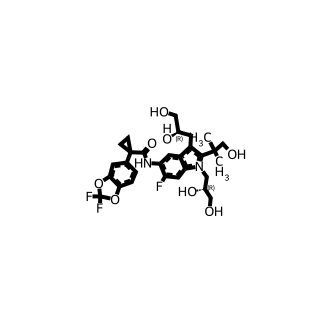 CC(C)(CO)c1c(C[C@@H](O)CO)c2cc(NC(=O)C3(c4ccc5c(c4)OC(F)(F)O5)CC3)c(F)cc2n1C[C@@H](O)CO